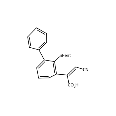 CCCCCc1c(C(=CC#N)C(=O)O)cccc1-c1ccccc1